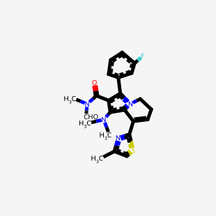 Cc1csc(C2=CCCn3c2c(N(C)C)c(C(=O)N(C)C=O)c3-c2cccc(F)c2)n1